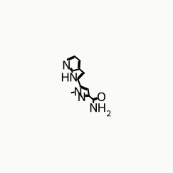 Cn1nc(C(N)=O)cc1-c1cc2cccnc2[nH]1